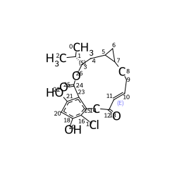 CC(C)[C@@H]1CC2CC2CC/C=C/C(=O)Cc2c(Cl)c(O)cc(O)c2C(=O)O1